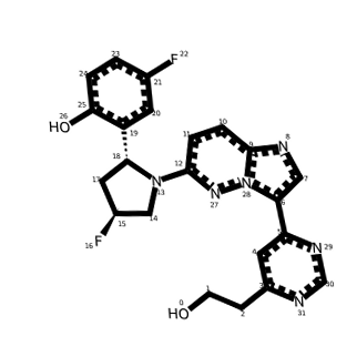 OCCc1cc(-c2cnc3ccc(N4C[C@@H](F)C[C@@H]4c4cc(F)ccc4O)nn23)ncn1